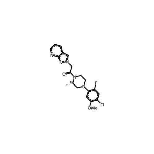 COc1cc(N2CCN(C(=O)Cn3cc4cccnc4n3)[C@@H](C)C2)c(F)cc1Cl